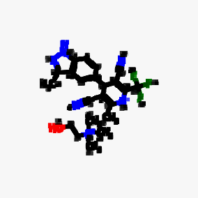 CC1=C(C#N)[C@@H](c2ccc3[nH]nc(C)c3c2)C(C#N)=C(C(F)(F)F)[N-]1.C[N+](C)(C)CCO